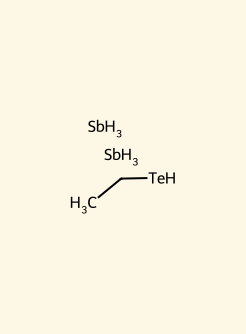 CC[TeH].[SbH3].[SbH3]